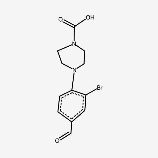 O=Cc1ccc(N2CCN(C(=O)O)CC2)c(Br)c1